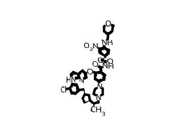 C[C@H](CN1CCN(c2ccc(C(=O)NS(=O)(=O)c3ccc(NCC4CCOCC4)c([N+](=O)[O-])c3)c(Oc3cnc4[nH]ccc4c3)c2)CC1)[C@H]1CC[C@@H](Cc2ccc(Cl)cc2)C1